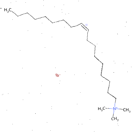 CCCCCCCC/C=C\CCCCCCCC[N+](C)(C)C.[Br-]